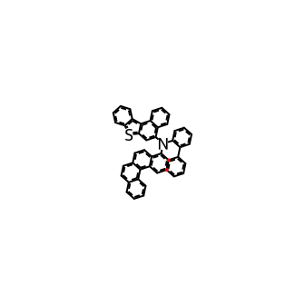 c1ccc(-c2ccccc2N(c2cccc3c2ccc2ccc4ccccc4c23)c2cc3sc4ccccc4c3c3ccccc23)cc1